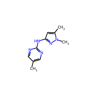 Cc1cnc(Nc2cc(C)n(C)n2)nc1